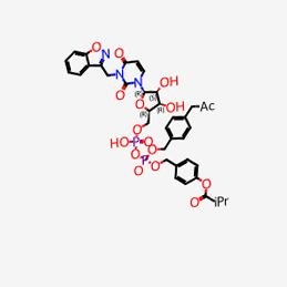 CC(=O)Cc1ccc(COP(=O)(OCc2ccc(OC(=O)C(C)C)cc2)OP(=O)(O)OC[C@H]2O[C@@H](n3ccc(=O)n(Cc4noc5ccccc45)c3=O)[C@@H](O)[C@H]2O)cc1